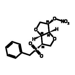 O=[N+]([O-])O[C@@H]1CO[C@H]2[C@@H]1OC[C@@H]2S(=O)(=O)Cc1ccccc1